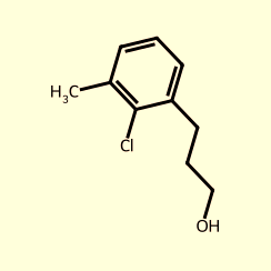 Cc1cccc(CCCO)c1Cl